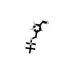 CC(C)(C)[Si](C)(C)OCc1cc(C=O)no1